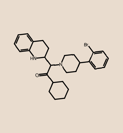 O=C(C1CCCCC1)C(C1CCc2ccccc2N1)N1CCC(c2ccccc2Br)CC1